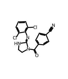 N#Cc1ccc(C(=O)N2CCNC2=Nc2c(Cl)cccc2Cl)cc1